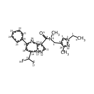 CCn1cc(CN(C)C(=O)c2cnn3c(C(F)F)cc(-c4ccccc4)nc23)c(C)n1